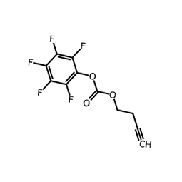 C#CCCOC(=O)Oc1c(F)c(F)c(F)c(F)c1F